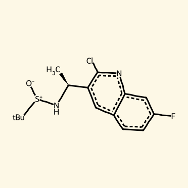 C[C@H](N[S+]([O-])C(C)(C)C)c1cc2ccc(F)cc2nc1Cl